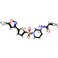 C=CC(=O)N[C@H]1CCCN(S(=O)(=O)c2ccc(-c3cc(C(F)(F)F)on3)s2)C1